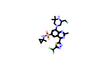 Cc1nc(-c2nnc(C(F)F)s2)c2cc(S(=O)(=O)NC3(C)CC3)cc(N3CC(CF)NC(C)(C)C3)c2n1